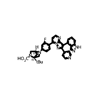 CC(C)(C)[C@]12C[C@@H](CN1C(=O)O)N(c1ccc(-c3ccnc4c(-c5cccc6[nH]ncc56)c(-c5ccncc5)nn34)c(F)c1)C2